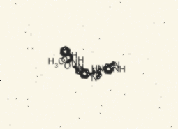 COC(=O)C(Cc1ccccc1)NCc1cc2ccc(-c3nccc(Nc4ccc5[nH]ncc5c4)n3)cc2[nH]1